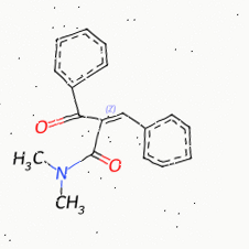 CN(C)C(=O)/C(=C\c1ccccc1)C(=O)c1ccccc1